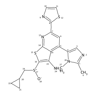 Cc1ncc(-c2cc(-c3nccs3)nc3sc([S+]([O-])CC4CC4)c(N)c23)n1C